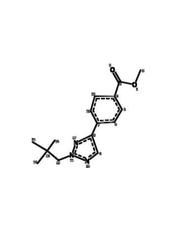 COC(=O)c1ccc(-c2cnn(CC(C)(C)C)n2)cc1